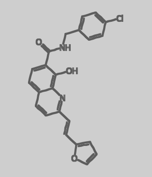 O=C(NCc1ccc(Cl)cc1)c1ccc2ccc(/C=C/c3ccco3)nc2c1O